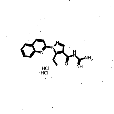 CCc1c(C(=O)NC(=N)N)cnn1-c1ccc2ccccc2n1.Cl.Cl